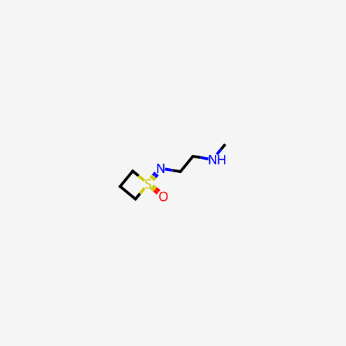 CNCCN=S1(=O)CCC1